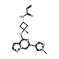 C=CC(=O)N[C@H]1C[C@@](C)(Oc2nc(-c3cnn(C)c3)cn3nccc23)C1